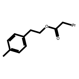 Cc1ccc(CCOC(=O)CC(C)C)cc1